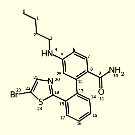 CCCCNc1ccc(C(N)=O)c(-c2ccccc2-c2ncc(Br)s2)c1